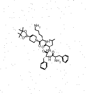 CC(C)C[C@@H](NC(=O)[C@@H](Cc1ccccc1)NC(=O)[C@H](N)Cc1ccccc1)C(=O)N[C@H](CCCCN)C(=O)N1CC=C(B2OC(C)(C)C(C)(C)O2)CC1